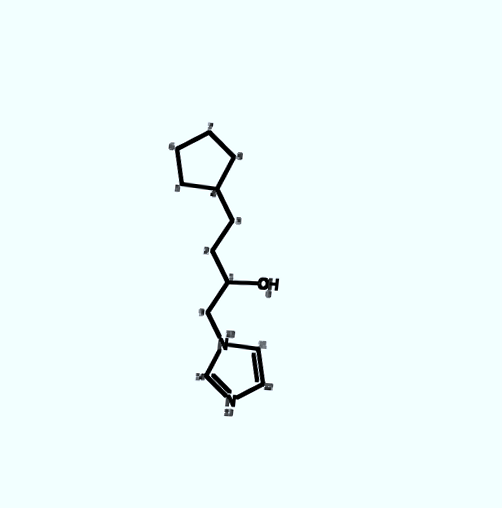 OC(CCC1CCCC1)Cn1ccnc1